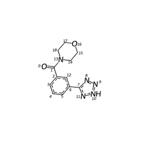 O=C(c1cccc(-c2nn[nH]n2)c1)N1CCOCC1